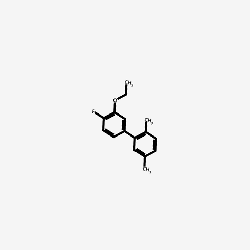 CCOc1cc(-c2cc(C)ccc2C)ccc1F